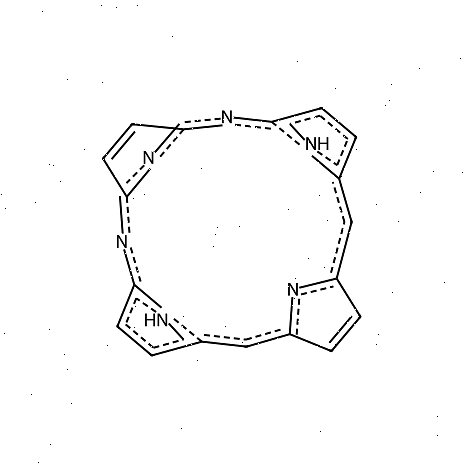 C1=Cc2cc3ccc(nc4nc(nc5ccc(cc1n2)[nH]5)C=C4)[nH]3